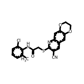 Cc1cccc(Cl)c1NC(=O)CSc1nc2cc3c(cc2cc1C#N)OCCO3